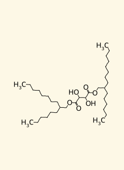 CCCCCCCCC(CCCCCC)COC(=O)C(O)C(O)C(=O)OCC(CCCCCC)CCCCCCCC